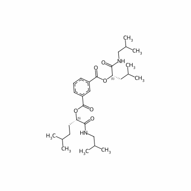 CC(C)CC[C@H](OC(=O)c1cccc(C(=O)O[C@@H](CC(C)C)C(=O)NCC(C)C)c1)C(=O)NCC(C)C